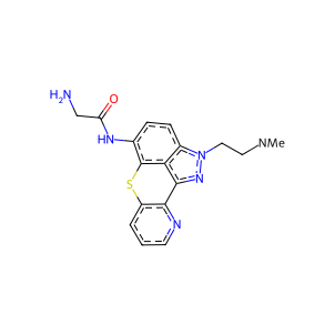 CNCCn1nc2c3c(c(NC(=O)CN)ccc31)Sc1cccnc1-2